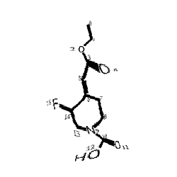 CCOC(=O)C=C1CCN(C(=O)O)CC1F